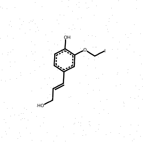 OC/C=C/c1ccc(O)c(OCI)c1